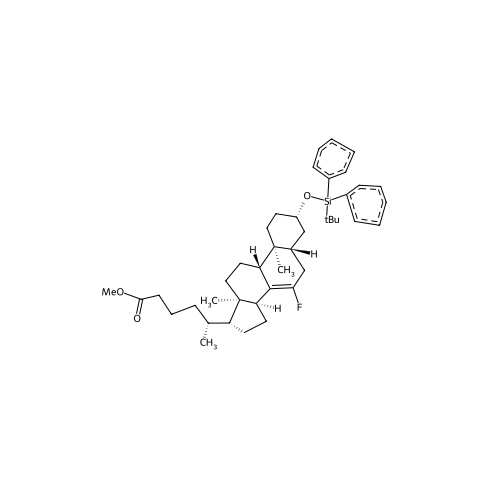 COC(=O)CCC[C@@H](C)[C@H]1CC[C@@H]2C3=C(F)C[C@H]4C[C@@H](O[Si](c5ccccc5)(c5ccccc5)C(C)(C)C)CC[C@]4(C)[C@H]3CC[C@@]21C